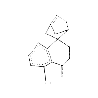 CCCCc1cccc2c1C(=O)CCC21CC2=CCC1C2